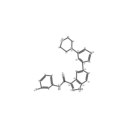 O=C(Nc1cccc(F)c1)c1n[nH]c2ccc(-c3cncc(N4CCOCC4)c3)cc12